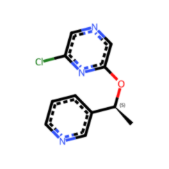 C[C@H](Oc1cncc(Cl)n1)c1cccnc1